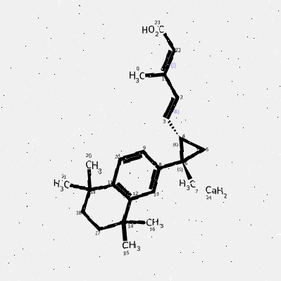 CC(/C=C/[C@@H]1C[C@]1(C)c1ccc2c(c1)C(C)(C)CCC2(C)C)=C\C(=O)O.[CaH2]